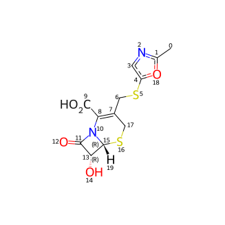 Cc1ncc(SCC2=C(C(=O)O)N3C(=O)[C@@H](O)[C@H]3SC2)o1